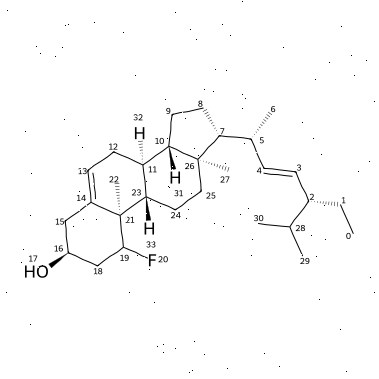 CC[C@@H](/C=C/[C@@H](C)[C@H]1CC[C@H]2[C@@H]3CC=C4C[C@H](O)CC(F)[C@]4(C)[C@H]3CC[C@]12C)C(C)C